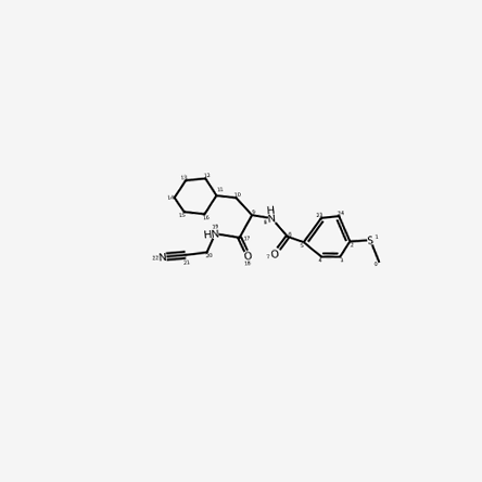 CSc1ccc(C(=O)NC(CC2CCCCC2)C(=O)NCC#N)cc1